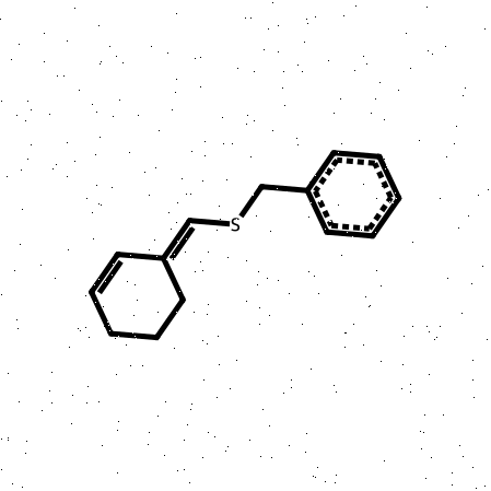 C1=CC(=CSCc2ccccc2)CCC1